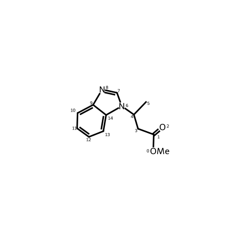 COC(=O)CC(C)n1cnc2ccccc21